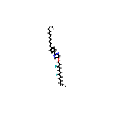 CCCCCCCCCCc1ccc(-c2ncc(OCCC(F)CCCC(F)CCCCC)cn2)cc1